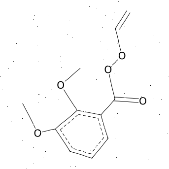 C=COOC(=O)c1cccc(OC)c1OC